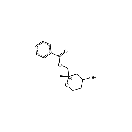 C[C@@]1(COC(=O)c2ccccc2)CC(O)CCO1